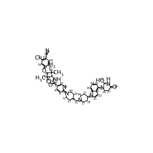 CC1(C)[C@H](NC(=O)c2ccc(N3CCC(CN4CCC(n5ccc6c(N7CCC(=O)NC7O)cccc65)CC4)CC3)nc2)C(C)(C)[C@H]1Oc1ccc(C#N)c(Cl)c1